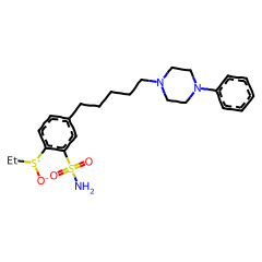 CC[S+]([O-])c1ccc(CCCCCN2CCN(c3ccccc3)CC2)cc1S(N)(=O)=O